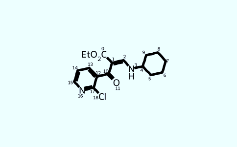 CCOC(=O)C(=CNC1CCCCC1)C(=O)c1cccnc1Cl